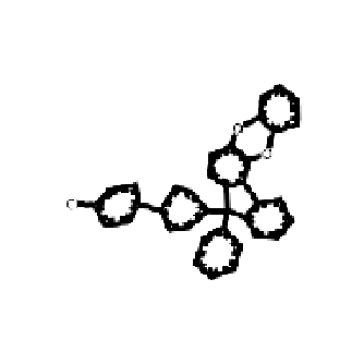 Clc1ccc(-c2ccc(C3(c4ccccc4)c4ccccc4-c4c3ccc3c4Oc4ccccc4O3)cc2)cc1